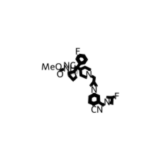 COC(=O)N[C@H]1CCC[C@@H]1[C@](C#N)(c1cccc(F)c1)C1CCN(CC2CN(c3ccc(C#N)c(CN4CC(F)C4)c3)C2)CC1